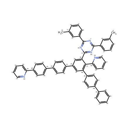 Cc1cccc(-c2nc(-c3cccc(C)c3)nc(-c3cc(-c4ccc(-c5ccc(-c6ccccn6)cc5)cc4)cc(-c4ccc(-c5ccccc5)cc4)c3-c3ccccn3)n2)c1